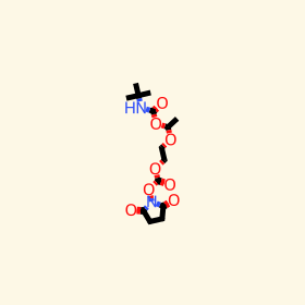 CC(OCCOC(=O)ON1C(=O)CCC1=O)OC(=O)NC(C)(C)C